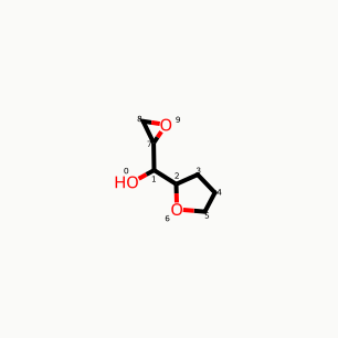 OC(C1CCCO1)C1CO1